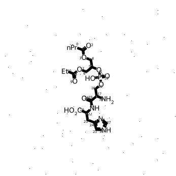 CCCC(=O)OCC(COC(=O)CC)OP(=O)(O)OCC(N)C(=O)NC(Cc1c[nH]cn1)C(=O)O